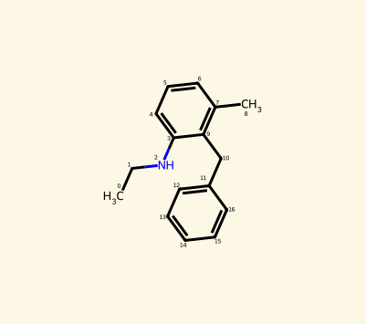 CCNc1cccc(C)c1Cc1ccccc1